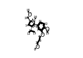 COCCCOc1cc([C@H]2[C@H](C(C)C)C[C@@H](COC)N2C)ccc1OC